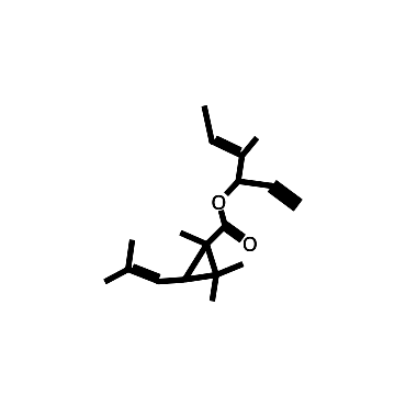 C#CC(OC(=O)C1(C)C(C=C(C)C)C1(C)C)C(C)=CC